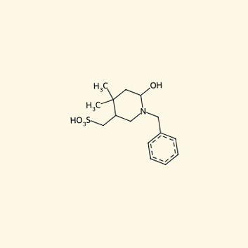 CC1(C)CC(O)N(Cc2ccccc2)CC1CS(=O)(=O)O